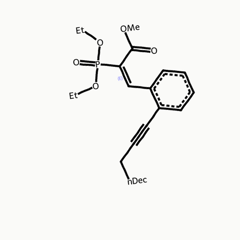 CCCCCCCCCCCC#Cc1ccccc1/C=C(\C(=O)OC)P(=O)(OCC)OCC